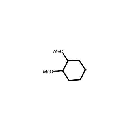 COC1C[CH]CCC1OC